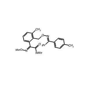 CNC(=O)/C(=N/OC)c1cccc(C)c1CO/N=C(/c1ccc(C)cc1)C(C)C